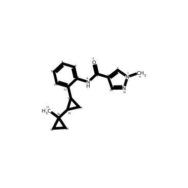 Cn1cc(C(=O)Nc2ccccc2C2CC2C2(C)CC2)cn1